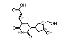 O=C(O)/C=C/c1cn(C2C[C@H](CO)[C@@H](O)C2)c(=O)[nH]c1=O